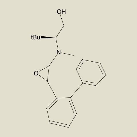 CN(C1OC1c1ccccc1-c1ccccc1)[C@H](CO)C(C)(C)C